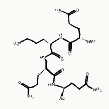 CN[C@@H](CCC(N)=O)C(=O)N[C@@H](CCCN)C(=O)N[C@@H](CCC(N)=O)C(=O)N[C@@H](CCC(N)=O)C(C)=O